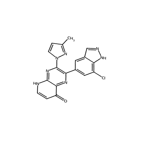 Cc1ccn(-c2nc3[nH]ccc(=O)c3nc2-c2cc(Cl)c3[nH]ncc3c2)n1